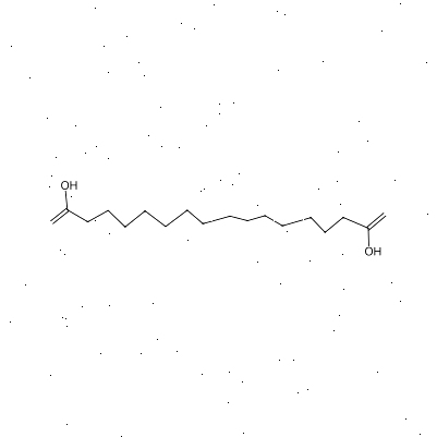 C=C(O)CCCCCCCCCCCCCCC(=C)O